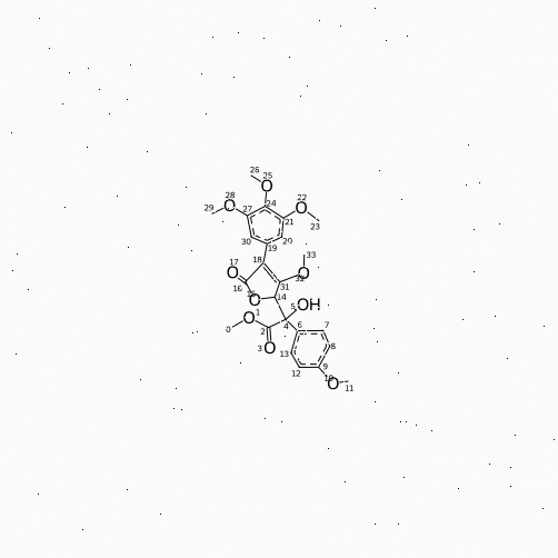 COC(=O)C(O)(c1ccc(OC)cc1)C1OC(=O)C(c2cc(OC)c(OC)c(OC)c2)=C1OC